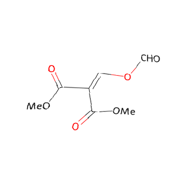 COC(=O)C(=COC=O)C(=O)OC